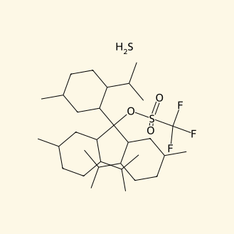 CC1CCC(C(C)C)C(C(OS(=O)(=O)C(F)(F)F)(C2CC(C)CCC2C(C)C)C2CC(C)CCC2C(C)C)C1.S